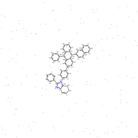 C1=Cc2nc(-c3ccccc3)n(-c3ccc(-c4ccc5c(-c6ccc7ccccc7c6)c6ccccc6c(-c6ccccc6)c5c4)cc3)c2CC1